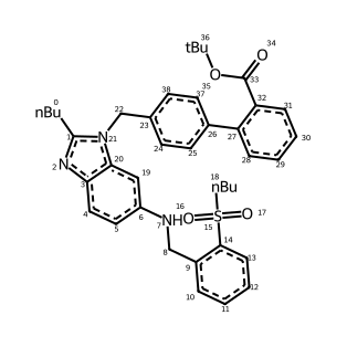 CCCCc1nc2ccc(NCc3ccccc3S(=O)(=O)CCCC)cc2n1Cc1ccc(-c2ccccc2C(=O)OC(C)(C)C)cc1